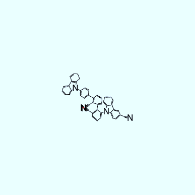 N#Cc1ccc2c(c1)c1ccccc1n2-c1cccc(C#N)c1-c1cccc(-c2ccc(-n3c4c(c5ccccc53)C=CCC4)cc2)c1C#N